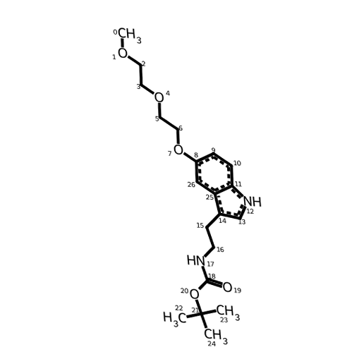 COCCOCCOc1ccc2[nH]cc(CCNC(=O)OC(C)(C)C)c2c1